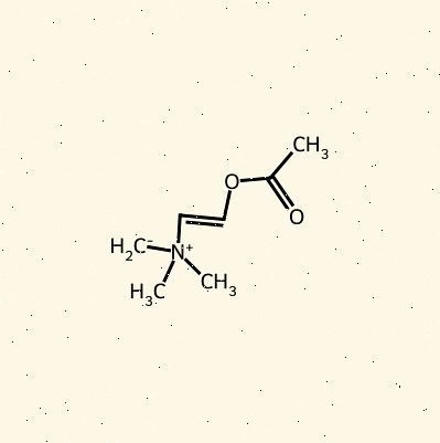 [CH2-][N+](C)(C)C=COC(C)=O